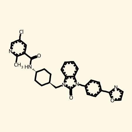 Cc1ncc(Cl)cc1C(=O)N[C@H]1CC[C@H](Cn2c(=O)n(-c3ccc(-c4ncco4)cc3)c3ccccc32)CC1